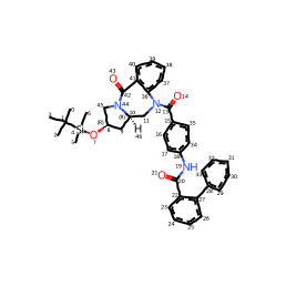 CC(C)(C)[Si](C)(C)O[C@@H]1C[C@@H]2CN(C(=O)c3ccc(NC(=O)c4ccccc4-c4ccccc4)cc3)c3ccccc3C(=O)N2C1